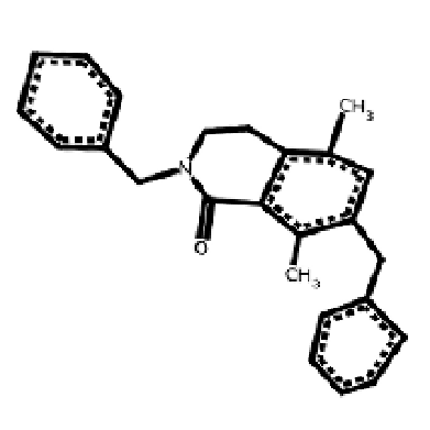 Cc1cc(Cc2ccccc2)c(C)c2c1CCN(Cc1ccccc1)C2=O